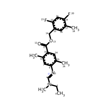 CCN(C)/C=N/c1cc(C)c(C(=O)OCc2cc(C)c(F)cc2F)cc1C